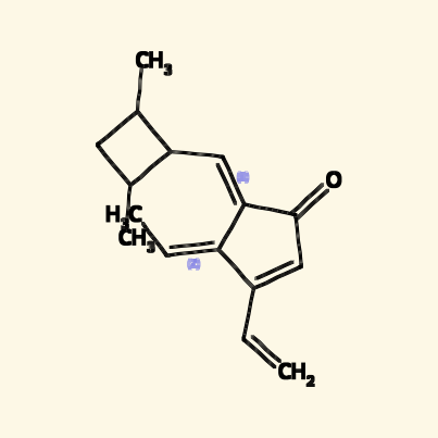 C=CC1=CC(=O)C(=C/C2C(C)CC2C)/C1=C\C